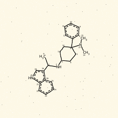 CC(NC1CCC(c2ccccc2)(N(C)C)CC1)c1c[nH]c2ccccc12